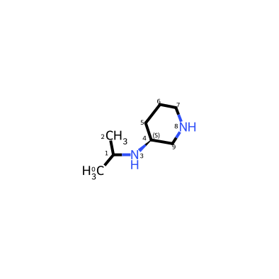 CC(C)N[C@H]1CCCNC1